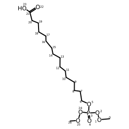 COOP(=O)(OCCCCCCCCCCCCCCCC(=O)O)OOC